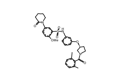 COc1ccc(N2CCCCC2=O)cc1S(=O)(=O)Nc1cccc(O[C@H]2CCN(C(=O)c3c(C)cccc3C)C2)c1